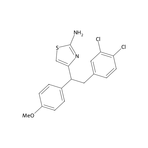 COc1ccc(C(Cc2ccc(Cl)c(Cl)c2)c2csc(N)n2)cc1